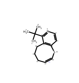 CC(C)(C)c1nccc2c1CCC/C=C\S2